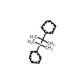 CC(C)(c1ccccc1)[Si](C)(C)c1ccccc1